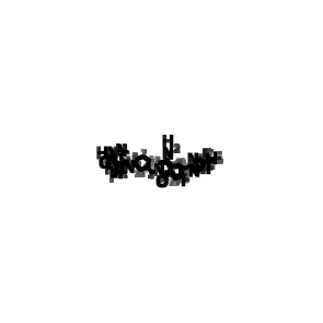 Nc1cn(C[C@@H]2CCC[C@H](Nc3cn[nH]c(=O)c3C(F)(F)F)C2)c(=O)c2cc(F)c(-c3ncc(C(F)(F)F)cn3)cc12